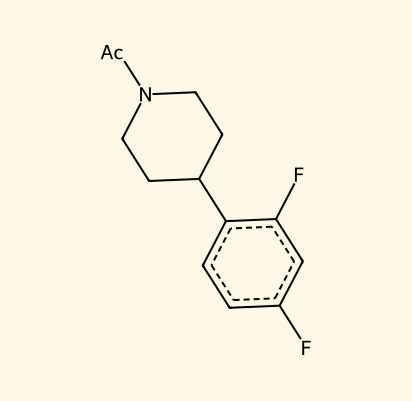 CC(=O)N1CCC(c2ccc(F)cc2F)CC1